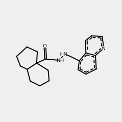 O=C(NNc1cccc2ncccc12)C12CCCCC1CCCC2